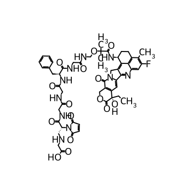 CC[C@@]1(O)C(=O)OCc2c1cc1n(c2=O)Cc2c-1nc1cc(F)c(C)c3c1c2[C@@H](NC(=O)C(C)(C)OCNC(=O)CNC(=O)[C@H](Cc1ccccc1)NC(=O)CNC(=O)CNC(=O)[C@@H](CNCC(=O)O)N1C(=O)C=CC1=O)CC3